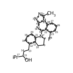 Cc1nnc2nc(N3CCCc4c(CCC(O)C(C)C)cccc43)c3c(F)cccc3n12